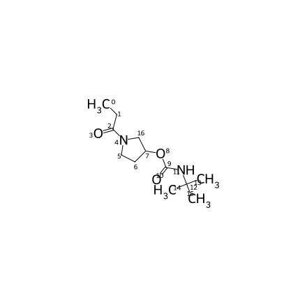 CCC(=O)N1CCC(OC(=O)NC(C)(C)C)C1